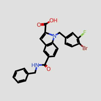 O=C(NCc1ccccc1)c1ccc2c(c1)cc(C(=O)O)n2Cc1ccc(Br)c(F)c1